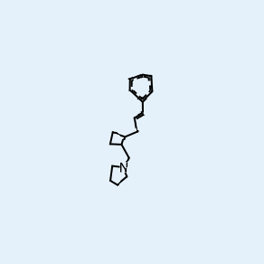 C(=C\c1ccccc1)/CC1CCC1CN1CCCC1